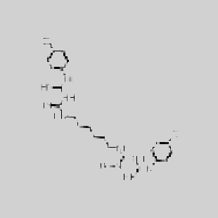 N=C(NCCCCCCNC(=NBr)NC(=N)Nc1ccc(Cl)cc1)NC(=N)Nc1ccc(Cl)cc1